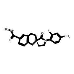 Cc1ccc(N2CC[C@@]3(CCc4cc(C(=O)NO)ccc4C3)C2=O)c(F)c1